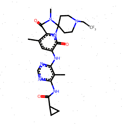 Cc1cc(Nc2ncnc(NC(=O)C3CC3)c2C)c(=O)n2c1C(=O)N(C)C21CCN(CC(F)(F)F)CC1